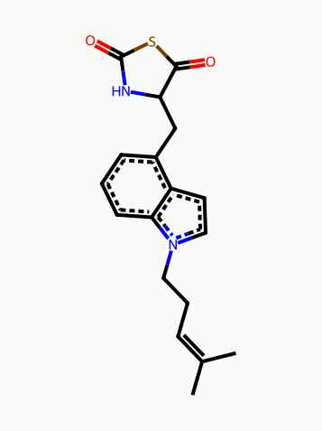 CC(C)=CCCn1ccc2c(CC3NC(=O)SC3=O)cccc21